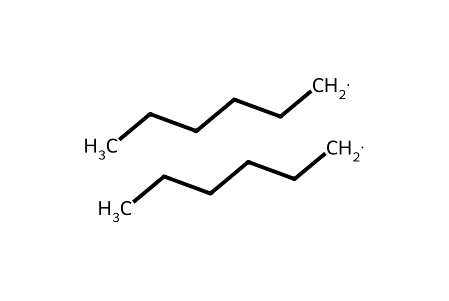 [CH2]CCCCC.[CH2]CCCCC